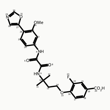 COc1cc(NC(=O)C(=O)NC(C)(C)CCOc2ccc(C(=O)O)cc2F)ccc1-c1cnco1